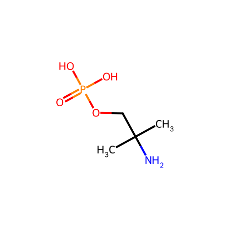 CC(C)(N)COP(=O)(O)O